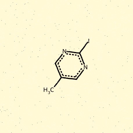 Cc1cnc(I)nc1